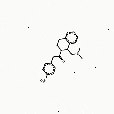 CN(C)CC1c2ccccc2CCN1C(=O)Cc1ccc([N+](=O)[O-])cc1